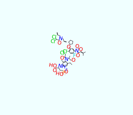 C=CCN(CC=C)C(=O)C(Cl)Cl.CC(C)=C1OC(=O)N(c2cc(OC3CCCC3)c(Cl)cc2F)C1=O.CCc1cccc(C)c1N(C(=O)CCl)C(C)COC.CP(=O)(O)CCC(N)C(=O)O